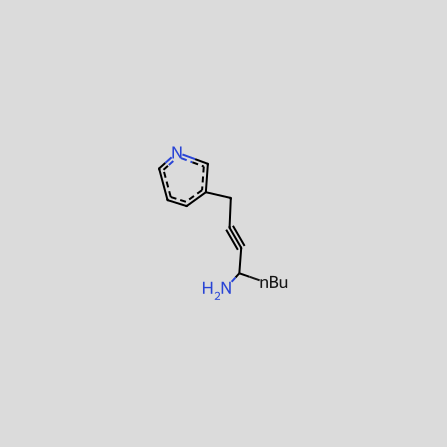 CCCCC(N)C#CCc1cccnc1